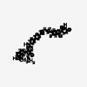 C=CCn1c(=O)c2cnc(Nc3ccc(C4CCN(C5CN(CC6CN(c7cc8c(cc7F)C(=O)N(C7CCC(=O)NC7=O)C8)C6)C5)CC4)cc3)nc2n1-c1ccc2c(n1)[C@](O)(CC)CC2